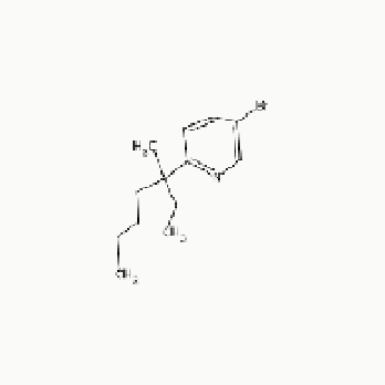 CCCCC(C)(CC)c1ccc(Br)cn1